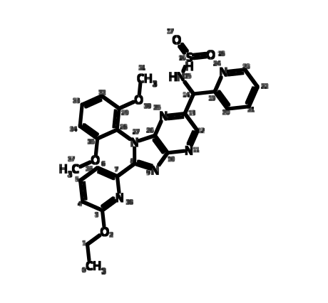 CCOc1cccc(-c2nc3ncc(C(N[SH](=O)=O)c4ccccn4)nc3n2-c2c(OC)cccc2OC)n1